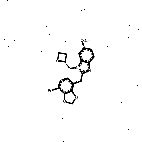 O=C(O)c1ccc2nc(Cc3ccc(Br)c4c3OCO4)n(C[C@@H]3CCO3)c2c1